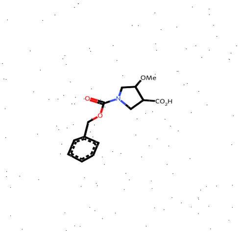 COC1CN(C(=O)OCc2ccccc2)CC1C(=O)O